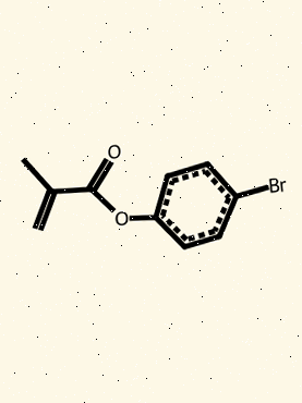 C=C(C)C(=O)Oc1ccc(Br)cc1